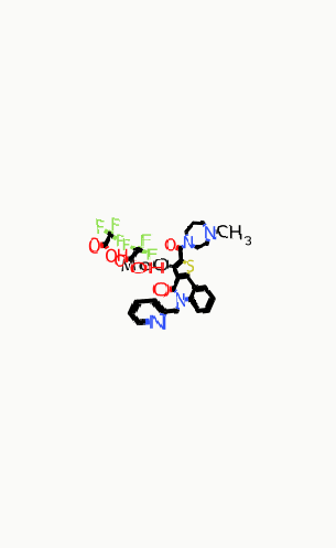 COc1c(C(=O)N2CCCN(C)CC2)sc2c1c(=O)n(Cc1ccccn1)c1ccccc21.O=C(O)C(F)(F)F.O=C(O)C(F)(F)F